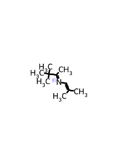 CC(C)=C/N=C(\C)C(C)(C)C